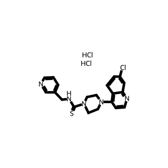 Cl.Cl.S=C(NCc1cccnc1)N1CCN(c2ccnc3cc(Cl)ccc23)CC1